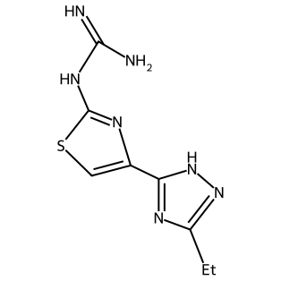 CCc1n[nH]c(-c2csc(NC(=N)N)n2)n1